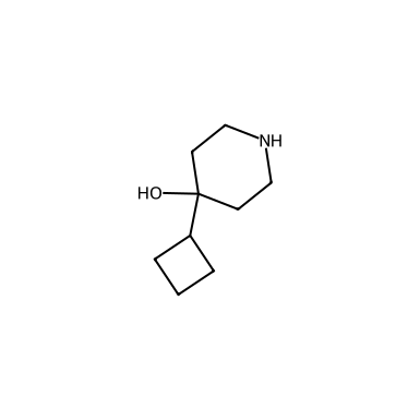 OC1(C2CCC2)CCNCC1